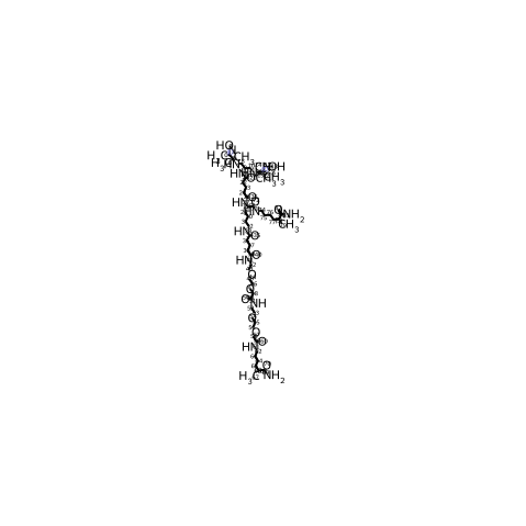 C/C(=N\O)C(C)(C)NCC(CNC(C)(C)/C(C)=N/O)NC(=O)CCCC(=O)N[C@@H](CCCCNC(=O)CCCC(=O)NCCOCCOCC(=O)NCCOCCOCC(=O)NCCCC[C@H](C)C(N)=O)C(=O)NCCCC[C@H](C)C(N)=O